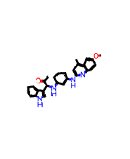 COc1ccc2nc(NC3CCCC(NC(C(C)=O)c4c[nH]c5ccccc45)C3)cc(C)c2c1